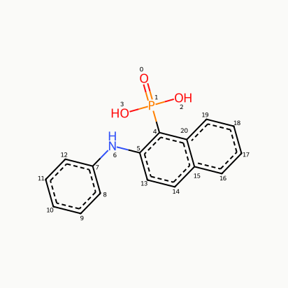 O=P(O)(O)c1c(Nc2ccccc2)ccc2ccccc12